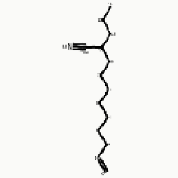 C=CCCCCCCCC(C#N)CCC